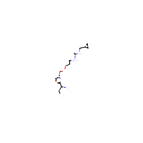 CCC(NC)c1nc(COCCCNC(=S)NCC2CC2)cs1